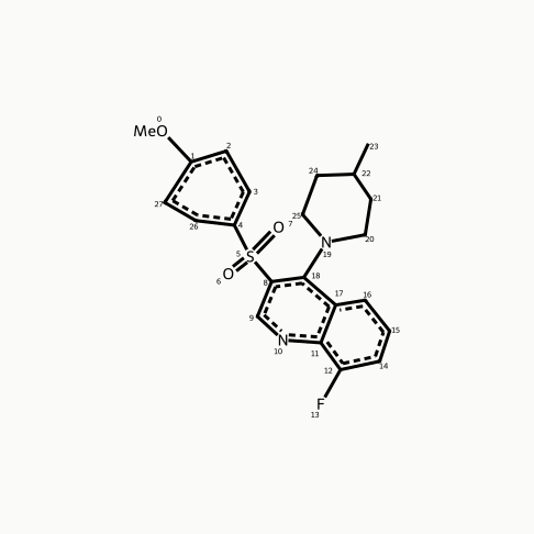 COc1ccc(S(=O)(=O)c2cnc3c(F)cccc3c2N2CCC(C)CC2)cc1